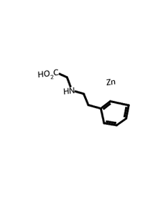 O=C(O)CNCCc1ccccc1.[Zn]